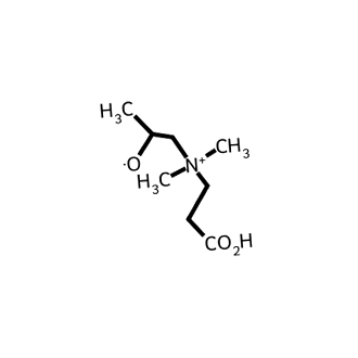 CC([O])C[N+](C)(C)CCC(=O)O